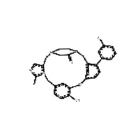 Cc1ncc2n1Cc1ccc(C#N)c(c1)Oc1ccc(-c3cccc(Cl)c3)c(c1)CN1CCN(CC1=O)C2